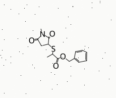 CC(SC1CC(=O)N(C)C1=O)C(=O)OCc1ccccc1